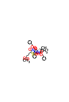 COC(=O)CCCC(S)C(=O)N(C(=O)OCc1ccccc1)[C@@](Cc1ccccc1)(C(=O)O)C(=O)[C@H](CC(C)C)NC(=O)OCc1ccccc1